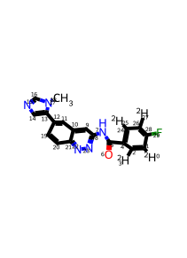 [2H]c1c([2H])c(C(=O)Nc2cc3cc(-c4cncn4C)ccc3nn2)c([2H])c([2H])c1F